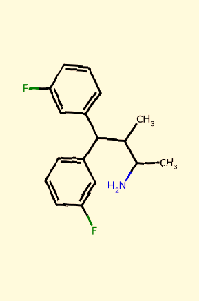 CC(N)C(C)C(c1cccc(F)c1)c1cccc(F)c1